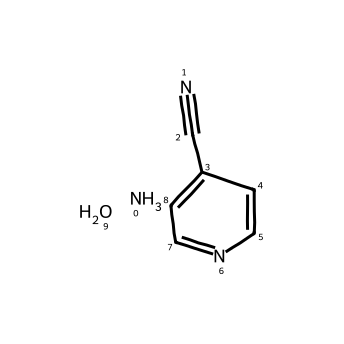 N.N#Cc1ccncc1.O